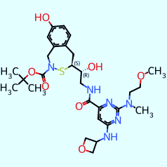 COCCN(C)c1nc(NC2COC2)cc(C(=O)NC[C@@H](O)[C@@H]2Cc3ccc(O)cc3CN(C(=O)OC(C)(C)C)S2)n1